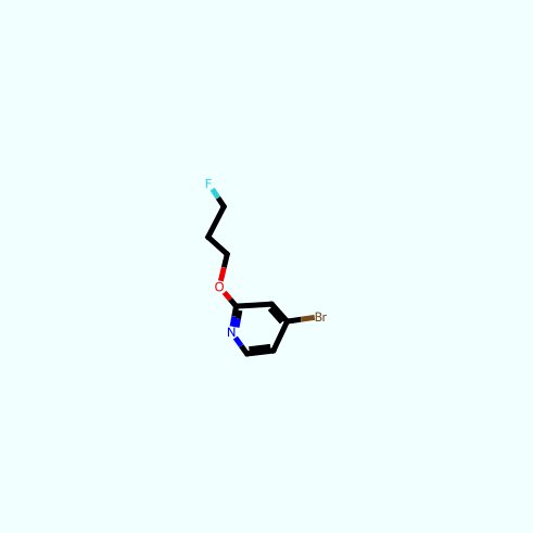 FCCCOc1cc(Br)ccn1